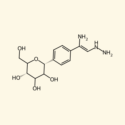 NN/C=C(\N)c1ccc([C@H]2OC(CO)[C@@H](O)C(O)C2O)cc1